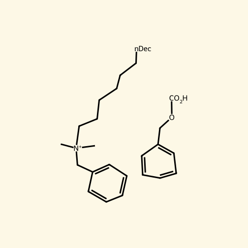 CCCCCCCCCCCCCCCC[N+](C)(C)Cc1ccccc1.O=C(O)OCc1ccccc1